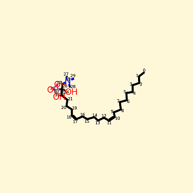 CCCCCCCCCC/C=C\CCCCC/C=C\CCCCC(O)(C[N+](C)(C)C)P(=O)(O)O